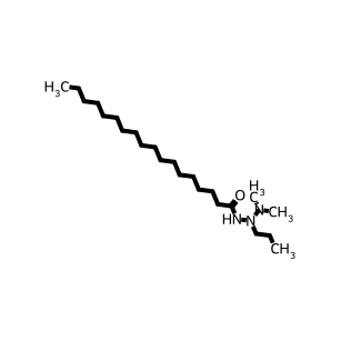 CCCCCCCCCCCCCCCCCC(=O)NN(CCC)N(C)C